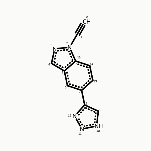 C#Cn1ncc2cc(-c3c[nH]nn3)ccc21